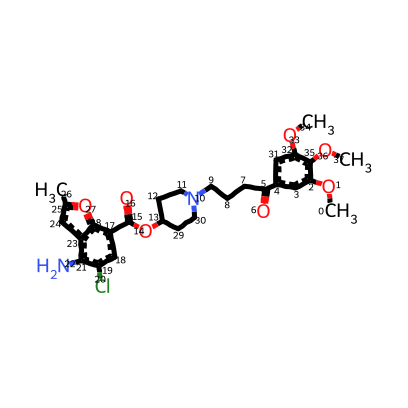 COc1cc(C(=O)CCCN2CCC(OC(=O)c3cc(Cl)c(N)c4cc(C)oc34)CC2)cc(OC)c1OC